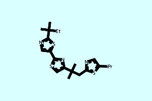 CCC(C)(C)c1ncc(-c2nc(C(C)(C)Cc3ncc(C(C)C)s3)cs2)s1